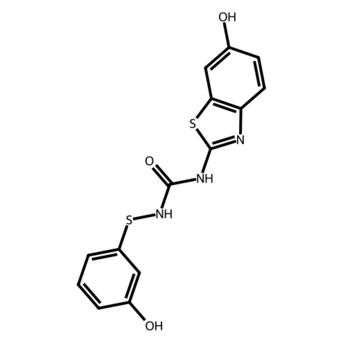 O=C(NSc1cccc(O)c1)Nc1nc2ccc(O)cc2s1